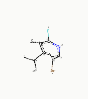 Cc1c(F)ncc(Br)c1C(C)C